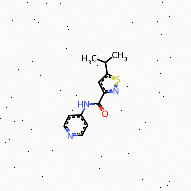 CC(C)c1cc(C(=O)Nc2ccncc2)ns1